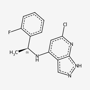 C[C@H](Nc1cc(Cl)nc2[nH]ncc12)c1ccccc1F